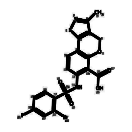 Cc1nsc2c1COc1c-2ccc(NS(=O)(=O)c2ccc(F)cc2Br)c1C(=O)O